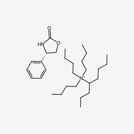 CCCCC(CCC)[N+](CCCC)(CCCC)CCCC.O=C1N[C@@H](c2ccccc2)CO1